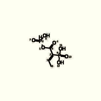 CC=C(C(=O)O[PH](=O)O)P(=O)(O)O